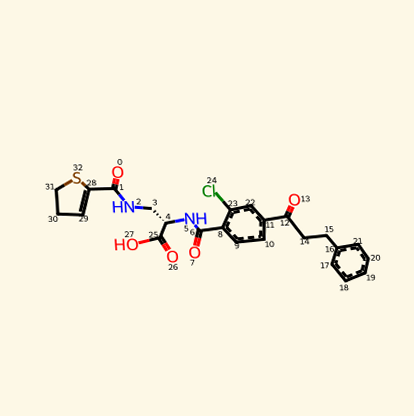 O=C(NC[C@H](NC(=O)c1ccc(C(=O)CCc2ccccc2)cc1Cl)C(=O)O)C1=CCCS1